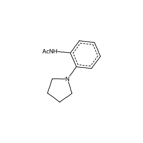 CC(=O)Nc1ccccc1N1CCCC1